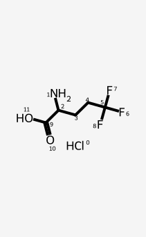 Cl.NC(CCC(F)(F)F)C(=O)O